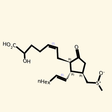 CCCCCC/C=C/[C@H]1[C@H](C[S+](C)[O-])CC(=O)[C@@H]1C/C=C\CCC(O)C(=O)O